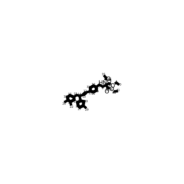 CCOC(=O)C(CCc1ccc(C#CC(Cc2ccc(C)c(C)c2)c2cccc(C)c2)cc1)(NC(C)=O)C(=O)OCC